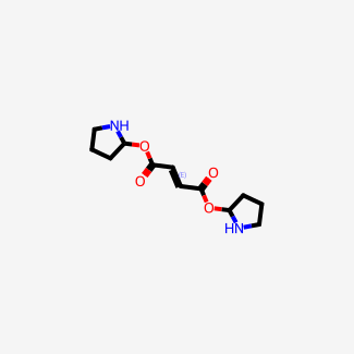 O=C(/C=C/C(=O)OC1CCCN1)OC1CCCN1